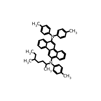 CCC(C)CCC(C)N(c1ccc(C)cc1)c1cc2c(cc(N(c3ccc(C)cc3)c3ccc(C)cc3)c3ccccc32)c2c1C=C=C=C2